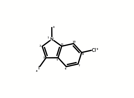 Cn1cc(I)c2ccc(Cl)cc21